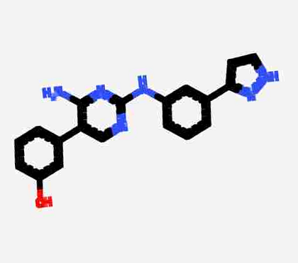 Nc1nc(Nc2cccc(-c3cc[nH]n3)c2)ncc1-c1cccc(O)c1